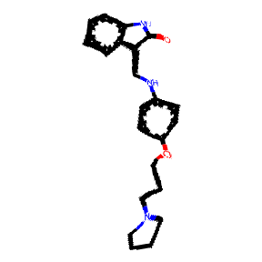 O=C1Nc2ccccc2C1=CNc1ccc(OCCCN2CCCC2)cc1